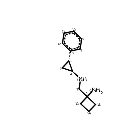 NC1(CN[C@H]2C[C@@H]2c2ccccc2)CCC1